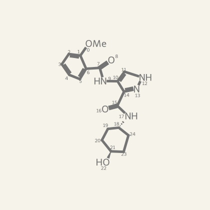 COc1ccccc1C(=O)Nc1c[nH]nc1C(=O)N[C@H]1CC[C@H](O)CC1